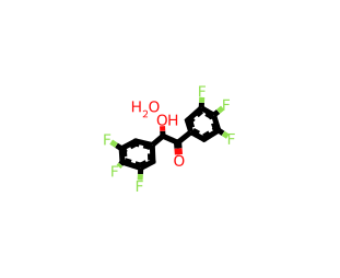 O.O=C(c1cc(F)c(F)c(F)c1)C(O)c1cc(F)c(F)c(F)c1